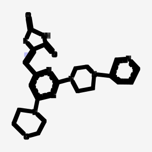 O=C1NC(=O)/C(=C\c2cc(N3CCOCC3)nc(N3CCN(c4cccnc4)CC3)n2)S1